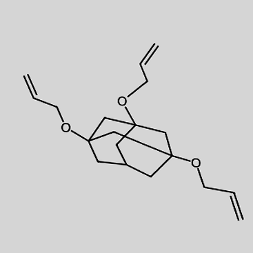 C=CCOC12CC3CC(OCC=C)(C1)CC(OCC=C)(C3)C2